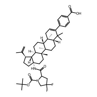 C=C(C)[C@@H]1CC[C@]2(NC(=O)C3CC(F)(F)CN3C(=O)OC(C)(C)C)CC[C@]3(C)[C@H](CC[C@@H]4[C@@]5(C)CC=C(c6ccc(C(=O)O)cc6)C(C)(C)[C@@H]5CC[C@]43C)[C@@H]12